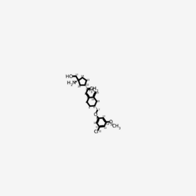 C=C(/C=C1/CC[C@@H](COc2cc(Cl)cc(OC)c2)C/C1=C/C)[C@H]1CC[C@](N)(CO)C1